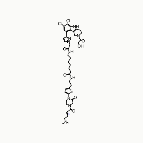 CN(C)C/C=C/C(=O)N1CCN(c2ccc(CCNC(=O)CCCCCCNC(=O)Cn3ccc(-c4cc(Cl)c(Cl)c5[nH]c6c(c45)CN(C(=O)CO)CC6)n3)s2)C(=O)C1